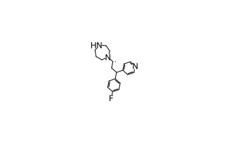 Fc1ccc(C(C[CH]N2CCCNCC2)c2ccncc2)cc1